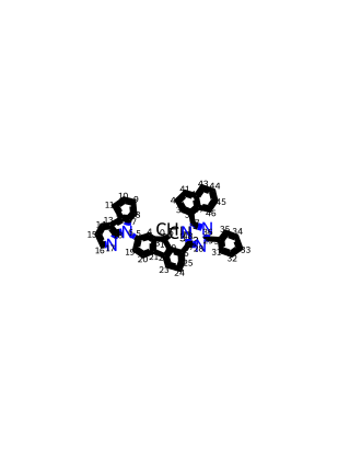 CC1(C)c2cc(-n3c4ccccc4c4cccnc43)ccc2-c2cccc(-c3nc(-c4ccccc4)nc(-c4cccc5ccccc45)n3)c21